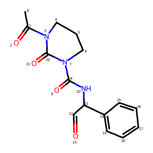 CC(=O)N1CCCN(C(=O)NC(C=O)c2ccccc2)C1=O